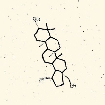 CC(C)[C@@H]1CC[C@]2(CO)CC[C@]3(C)C(CCC4[C@@]5(C)CC[C@H](O)C(C)(C)C5CC[C@]43C)C12